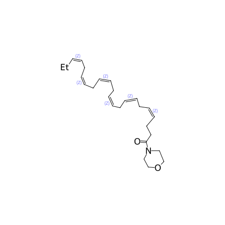 CC/C=C\C/C=C\C/C=C\C/C=C\C/C=C\C/C=C\CCC(=O)N1CCOCC1